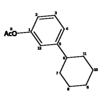 CC(=O)Oc1cccc(C2CCCCC2)c1